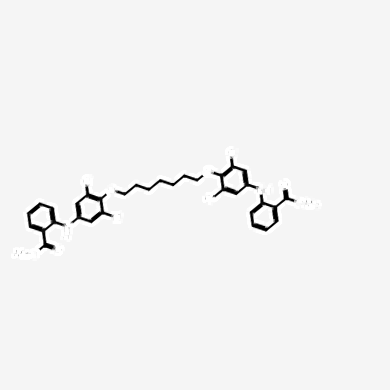 COC(=O)c1ccccc1Nc1cc(Cl)c(OCCCCCCCOc2c(Cl)cc(Nc3ccccc3C(=O)OC)cc2Cl)c(Cl)c1